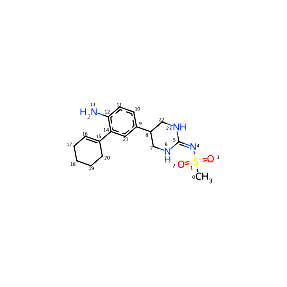 CS(=O)(=O)N=C1NCC(c2ccc(N)c(C3=CCCCC3)c2)CN1